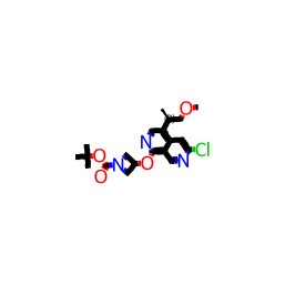 COC[C@H](C)c1cnc(OC2CN(C(=O)OC(C)(C)C)C2)c2cnc(Cl)cc12